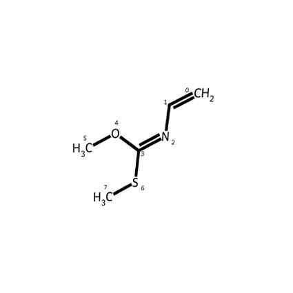 C=C/N=C(\OC)SC